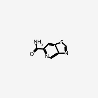 NC(=O)c1cc2scnc2cn1